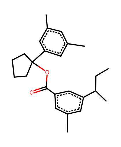 CCC(C)c1cc(C)cc(C(=O)OC2(c3cc(C)cc(C)c3)CCCC2)c1